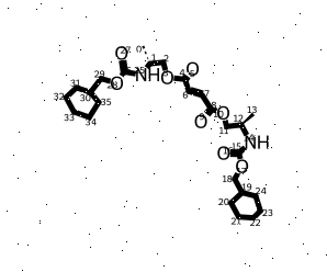 C[C@H](COC(=O)/C=C/C(=O)OC[C@@H](C)NC(=O)OCC1CCCCC1)NC(=O)OCC1CCCCC1